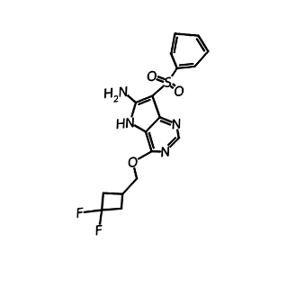 Nc1[nH]c2c(OCC3CC(F)(F)C3)ncnc2c1S(=O)(=O)c1ccccc1